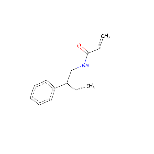 C=CC(=O)NCC(CC)c1ccccc1